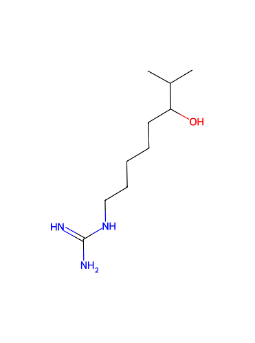 CC(C)C(O)CCCCCNC(=N)N